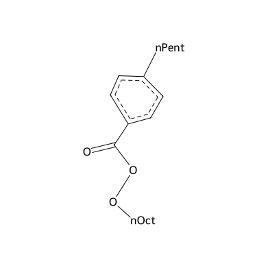 [CH2]CCCCCCCOOC(=O)c1ccc(CCCCC)cc1